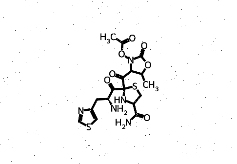 CC(=O)ON1C(=O)OC(C)C1C(=O)C1(C(=O)[C@@H](N)Cc2cscn2)NC(C(N)=O)CS1